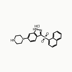 Cl.O=S(=O)(c1cccc2ccccc12)c1n[nH]c2cc(N3CCNCC3)ccc12